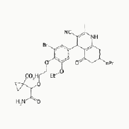 CCCC1CC(=O)C2=C(C1)NC(C)=C(C#N)C2c1cc(Br)c(OCCOC(C(N)=O)C2(C(=O)O)CC2)c(OCC)c1